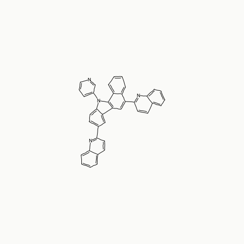 c1cncc(-n2c3ccc(-c4ccc5ccccc5n4)cc3c3cc(-c4ccc5ccccc5n4)c4ccccc4c32)c1